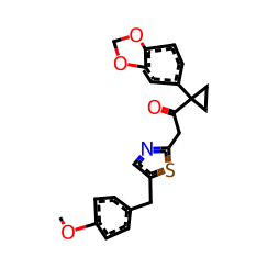 COc1ccc(Cc2cnc(CC(=O)C3(c4ccc5c(c4)OCO5)CC3)s2)cc1